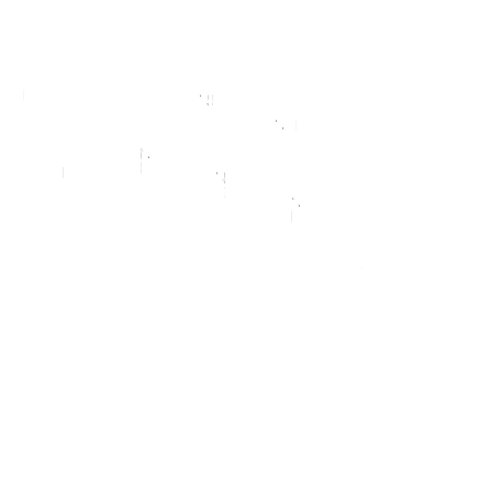 C=C(C)CNC(=N)NC(=N)Nc1ccccc1Oc1ccc(Cl)cc1